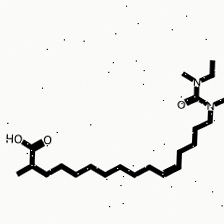 CCN(C)C(=O)N(C)CCCC/C=C\CCCCCCCCC(C)C(=O)O